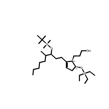 CCCCCC(C)C(CCC1=CC[C@H](O[Si](CC)(CC)CC)[C@@H]1CCCO)O[Si](C)(C)C(C)(C)C